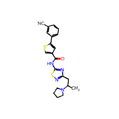 CC(Cc1nsc(NC(=O)c2csc(-c3cccc(C#N)c3)c2)n1)N1CCCC1